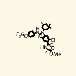 COC(=O)[C@H](C)NC(=O)c1cc2nc(Nc3ccc(OC(F)(F)F)cc3)n([C@H]3C[C@@H](C)CC(C)(C)C3)c2cc1Cl